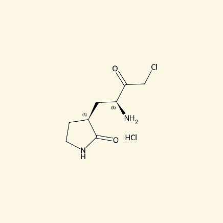 Cl.N[C@@H](C[C@@H]1CCNC1=O)C(=O)CCl